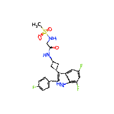 CS(=O)(=O)NCC(=O)N[C@H]1C[C@@H](c2c(-c3ccc(F)cc3)[nH]c3c(F)cc(F)cc32)C1